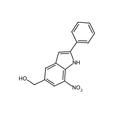 O=[N+]([O-])c1cc(CO)cc2cc(-c3ccccc3)[nH]c12